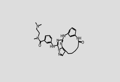 CN(C)CCN(C)C(=O)c1cccc(Nc2nc3nc4c(cnn24)CCCCC(=O)Nc2cccc(c2)N3)c1